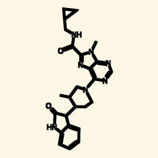 CC1CN(c2ncnc3c2nc(C(=O)NCC2CC2)n3C)CCC1C1C(=O)Nc2ccccc21